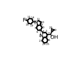 OC(c1cc(-c2ccc3c(ccn3-c3ccc(F)cc3)c2)nc2ccccc12)C1CC1